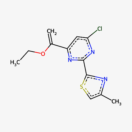 C=C(OCC)c1cc(Cl)nc(-c2nc(C)cs2)n1